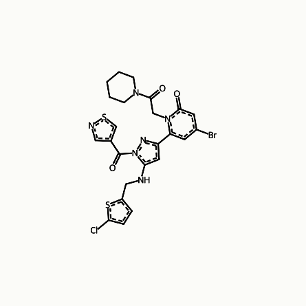 O=C(Cn1c(-c2cc(NCc3ccc(Cl)s3)n(C(=O)c3cnsc3)n2)cc(Br)cc1=O)N1CCCCC1